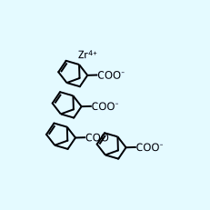 O=C([O-])C1CC2C=CC1C2.O=C([O-])C1CC2C=CC1C2.O=C([O-])C1CC2C=CC1C2.O=C([O-])C1CC2C=CC1C2.[Zr+4]